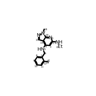 CCNc1cc(NCc2ccccc2F)c2cnn(C)c2n1